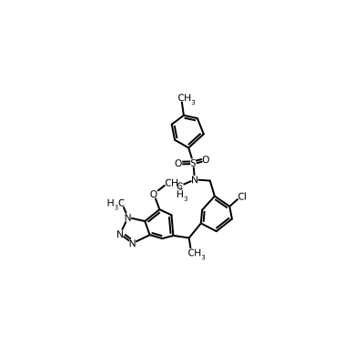 COc1cc(C(C)c2ccc(Cl)c(CN(C)S(=O)(=O)c3ccc(C)cc3)c2)cc2nnn(C)c12